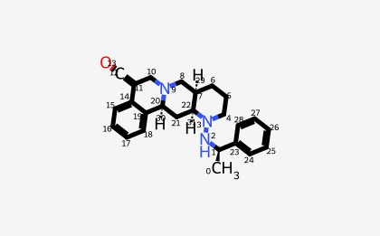 C[C@@H](NN1CCC[C@@H]2CN3CC(=C=O)c4ccccc4[C@@H]3C[C@@H]21)c1ccccc1